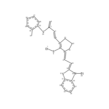 C=C(/C=C/C1=C(SCC)C(=C/C=C2\Sc3ccccc3N2CC)/CCC1)Sc1ccccc1C